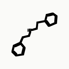 c1ccc(CCPCCc2ccccc2)cc1